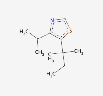 CCC(C)(C)c1scnc1C(C)C